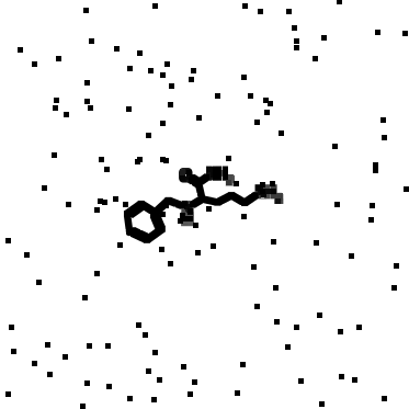 NCCCC(NCc1ccccc1)C(N)=O